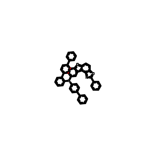 c1ccc(-c2ccc(-c3ccccc3N(c3ccc(-c4ccccc4)cc3)c3ccc4oc5ccc6oc(-c7ccccc7)nc6c5c4c3)cc2)cc1